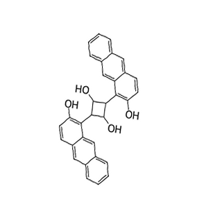 Oc1ccc2cc3ccccc3cc2c1C1C(O)C(c2c(O)ccc3cc4ccccc4cc23)C1O